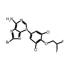 Nc1ncn(-c2cc(Cl)c(OCC(F)F)c(Cl)c2)c2nc(Br)nc1-2